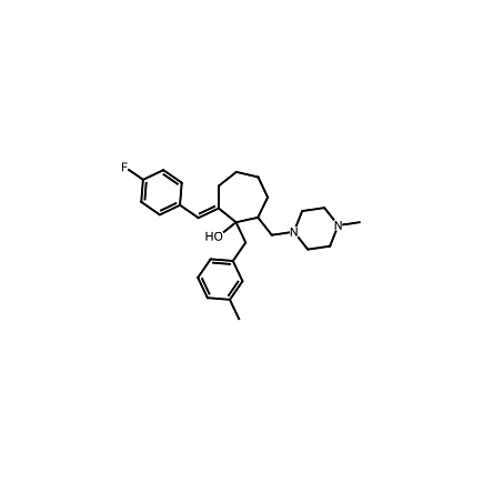 Cc1cccc(CC2(O)C(=Cc3ccc(F)cc3)CCCCC2CN2CCN(C)CC2)c1